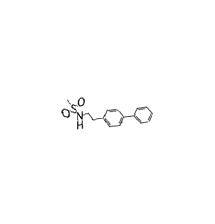 CS(=O)(=O)NCCc1ccc(-c2ccccc2)cc1